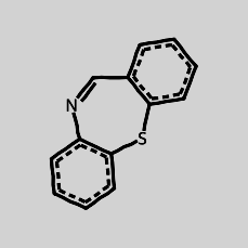 C1=Nc2ccccc2Sc2ccccc21